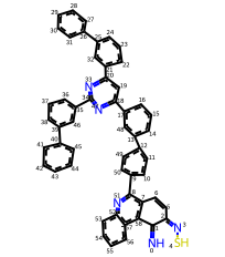 N=C1/C(=N\S)C=Cc2c(-c3ccc(-c4cccc(-c5cc(-c6cccc(-c7ccccc7)c6)nc(-c6cccc(-c7ccccc7)c6)n5)c4)cc3)nc3ccccc3c21